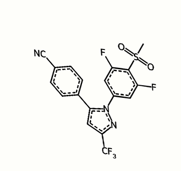 CS(=O)(=O)c1c(F)cc(-n2nc(C(F)(F)F)cc2-c2ccc(C#N)cc2)cc1F